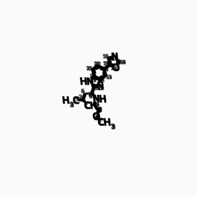 COCCN[C@H](CC(C)C)c1nc2cc(-c3cnco3)ccc2[nH]1